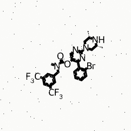 C[C@@H]1CN(c2ncc(OC(=O)N(C)Cc3cc(C(F)(F)F)cc(C(F)(F)F)c3)c(-c3ccccc3Br)n2)C[C@H](C)N1